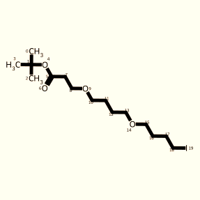 CC(C)(C)OC(=O)CCOCCCCOCCCCI